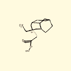 CC(C)(C)OC(=O)C[C@@]1(C[N+](=O)[O-])C2CCC3CC2C1C3